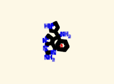 NC1=NC(=O)C2=C(C(N)(c3ccccc3)C3CCNC3)C=NC2=N1